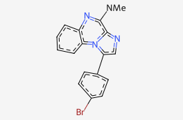 CNc1nc2ccccc2n2c(-c3ccc(Br)cc3)cnc12